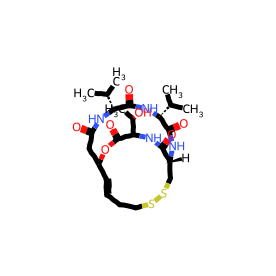 CC(O)C1NC(=O)[C@H]2CSSCC/C=C/C(CC(=O)N[C@H](C(C)C)C(=O)N[C@H](C(C)C)C(=O)N2)OC1=O